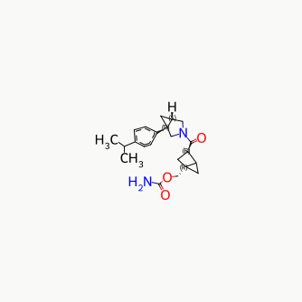 CC(C)c1ccc([C@@]23C[C@@H]2CN(C(=O)[C@@H]2C[C@]4(COC(N)=O)CC24)C3)cc1